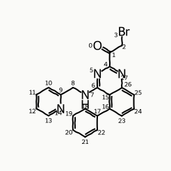 O=C(CBr)c1nc(NCc2ccccn2)c2c(-c3ccccc3)cccc2n1